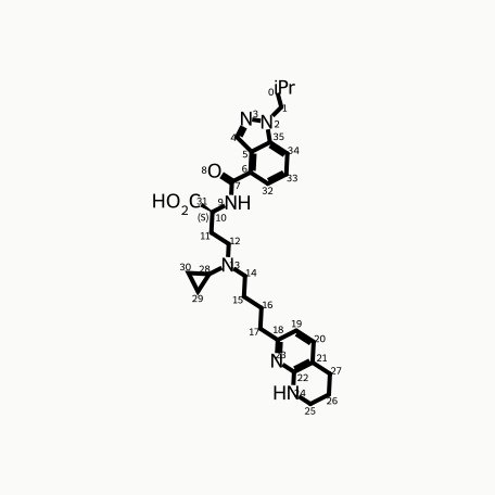 CC(C)Cn1ncc2c(C(=O)N[C@@H](CCN(CCCCc3ccc4c(n3)NCCC4)C3CC3)C(=O)O)cccc21